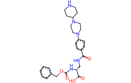 O=C(N[C@@H](CNC(=O)c1ccc(N2CCN(C3CCNCC3)CC2)cc1)C(=O)O)OCc1ccccc1